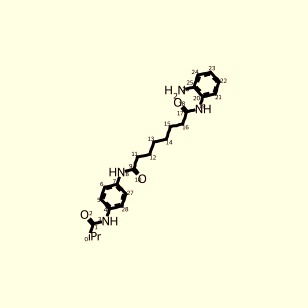 CC(C)C(=O)Nc1ccc(NC(=O)CCCCCCC(=O)Nc2ccccc2N)cc1